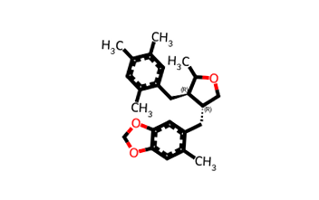 Cc1cc(C)c(C[C@H]2C(C)OC[C@@H]2Cc2cc3c(cc2C)OCO3)cc1C